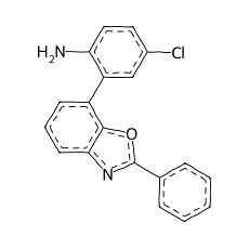 Nc1ccc(Cl)cc1-c1cccc2nc(-c3ccccc3)oc12